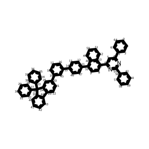 c1ccc(-c2cc(-c3ccc(-c4ccc(-c5cccc(-c6ccc7c(c6)C(c6ccccc6)(c6ccccc6)c6ccccc6-7)c5)cc4)c4ccccc34)nc(-c3ccccc3)n2)cc1